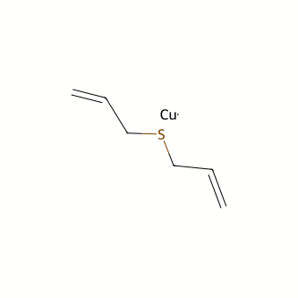 C=CCSCC=C.[Cu]